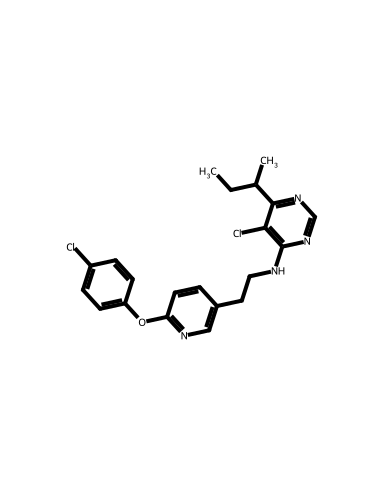 CCC(C)c1ncnc(NCCc2ccc(Oc3ccc(Cl)cc3)nc2)c1Cl